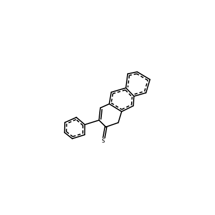 S=C1Cc2cc3ccccc3cc2C=C1c1ccccc1